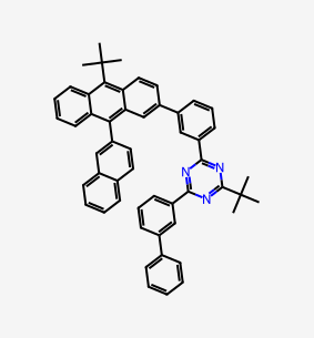 CC(C)(C)c1nc(-c2cccc(-c3ccccc3)c2)nc(-c2cccc(-c3ccc4c(C(C)(C)C)c5ccccc5c(-c5ccc6ccccc6c5)c4c3)c2)n1